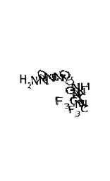 Cc1cc(NC(=O)c2ncc(-c3cn(CC(F)(F)F)nc3C(F)(F)F)n2C)ccc1C(=O)N1CCN(C2=NC(CN)CO2)CC1